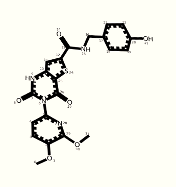 COc1ccc(-n2c(=O)[nH]c3cc(C(=O)NCc4ccc(O)cc4)sc3c2=O)nc1OC